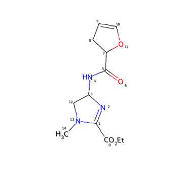 CCOC(=O)C1=NC(NC(=O)C2CC=CO2)CN1C